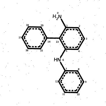 Nc1cccc(Nc2ccccc2)c1-c1ccccc1